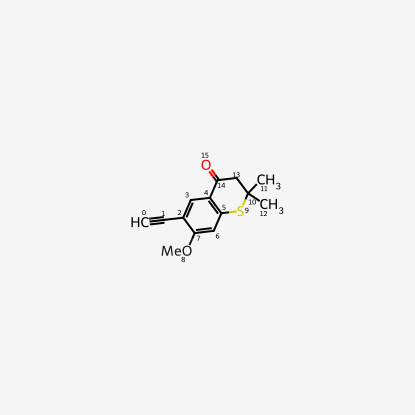 C#Cc1cc2c(cc1OC)SC(C)(C)CC2=O